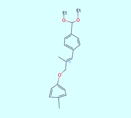 CCOC(OCC)c1ccc(/C=C(\C)COc2ccc(C)cc2)cc1